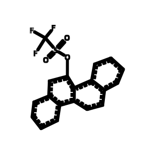 O=S(=O)(Oc1cc2ccccc2c2ccc3ccccc3c12)C(F)(F)F